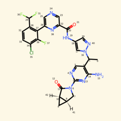 CC(c1cnc(N2C[C@H]3C[C@H]3C2=O)nc1N)n1cc(NC(=O)c2cncc(-c3c(C(F)F)ccc(Cl)c3F)n2)cn1